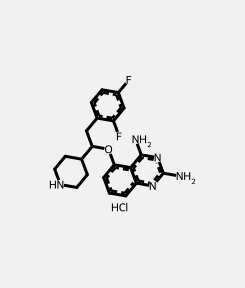 Cl.Nc1nc(N)c2c(OC(Cc3ccc(F)cc3F)C3CCNCC3)cccc2n1